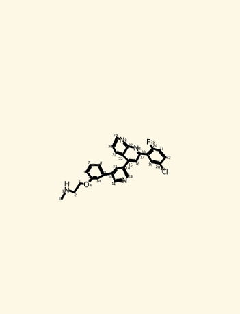 CNCCOc1cccc(-c2cncc(-c3cc(-c4cc(Cl)ccc4F)nc4ncccc34)c2)c1